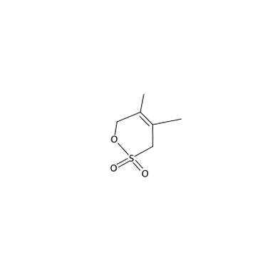 CC1=C(C)CS(=O)(=O)OC1